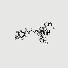 CCO[Si](O)(CCCCCc1ccc(F)cc1)OCC